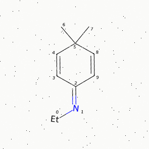 CCN=C1C=CC(C)(C)C=C1